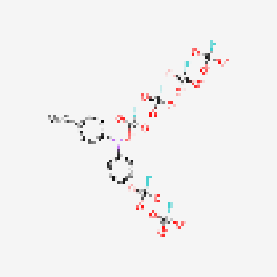 COc1ccc([I+]c2ccccc2)cc1.[O]=[Sb]([O-])([O-])[F].[O]=[Sb]([O-])([O-])[F].[O]=[Sb]([O-])([O-])[F].[O]=[Sb]([O-])([O-])[F].[O]=[Sb]([O-])([O-])[F].[O]=[Sb]([O-])([O-])[F]